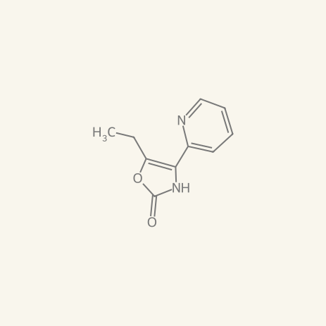 CCc1oc(=O)[nH]c1-c1ccccn1